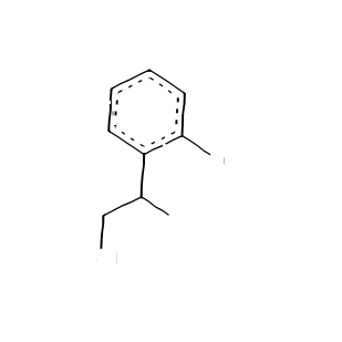 CCC(Cl)c1ccccc1[SiH3]